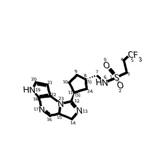 O=S(=O)(CCC(F)(F)F)NC[C@H]1CC[C@H](C2=NCC3C=Nc4[nH]ccc4N23)C1